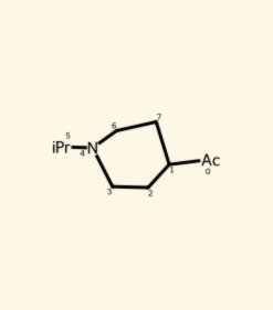 CC(=O)C1CCN(C(C)C)CC1